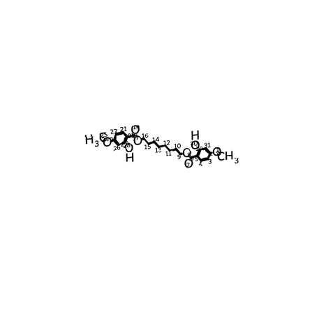 COc1ccc(C(=O)OCCCCCCCCOC(=O)c2ccc(OC)cc2O)c(O)c1